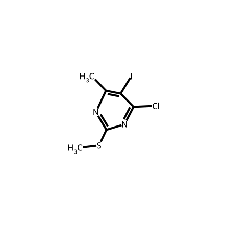 CSc1nc(C)c(I)c(Cl)n1